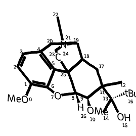 COc1ccc2c3c1O[C@H]1[C@H](OC)C(C)([C@](C)(O)C(C)(C)C)CC4C(C2)N(C)CCC341